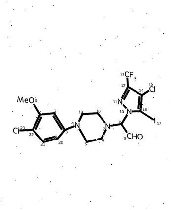 COc1cc(N2CCN(C(C=O)n3nc(C(F)(F)F)c(Cl)c3I)CC2)ccc1Cl